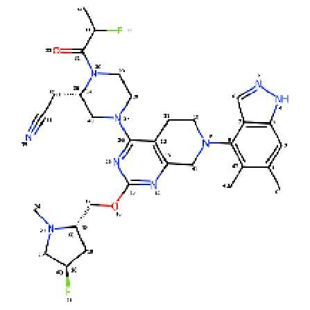 Cc1cc2[nH]ncc2c(N2CCc3c(nc(OC[C@@H]4C[C@@H](F)CN4C)nc3N3CCN(C(=O)C(C)F)[C@@H](CC#N)C3)C2)c1C